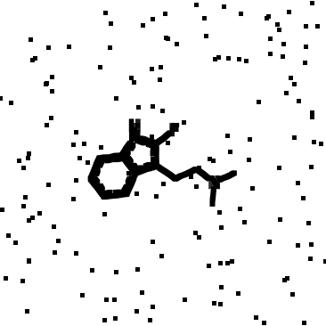 CN(C)CCc1c(F)[nH]c2ccccc12